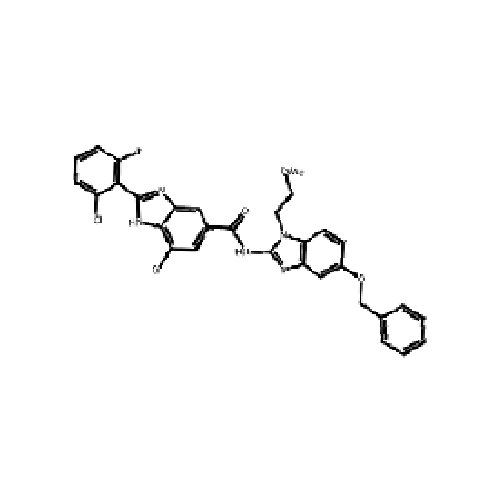 COCCn1c(NC(=O)c2cc(Cl)c3[nH]c(-c4c(F)cccc4Cl)nc3c2)nc2cc(OCc3ccccc3)ccc21